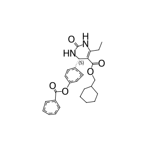 CCC1=C(C(=O)OCC2CCCCC2)[C@H](c2ccc(OC(=O)c3ccccc3)cc2)NC(=O)N1